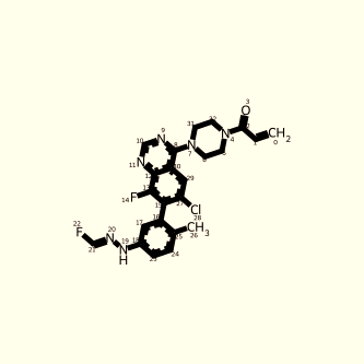 C=CC(=O)N1CCN(c2ncnc3c(F)c(-c4cc(N/N=C/F)ccc4C)c(Cl)cc23)CC1